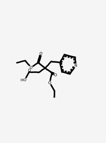 CCOC(=O)C(CC(=O)O)(Cc1ccncc1)C(=O)OCC